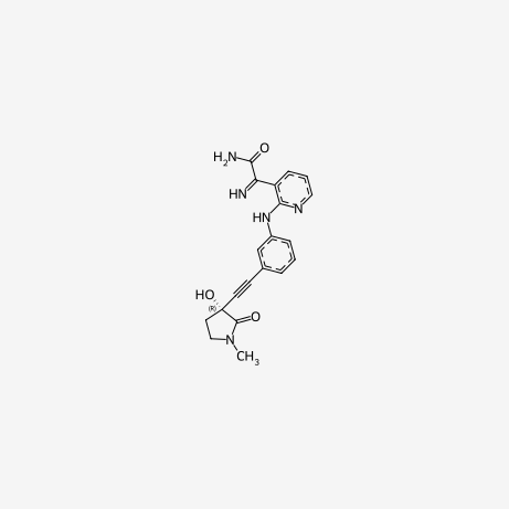 CN1CC[C@@](O)(C#Cc2cccc(Nc3ncccc3C(=N)C(N)=O)c2)C1=O